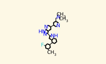 Cc1cc(F)cc(-c2cccc3[nH]c(-c4n[nH]c5ncc(-c6cncc(CN(C)C)c6)cc45)cc23)c1